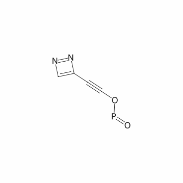 O=POC#CC1=CN=N1